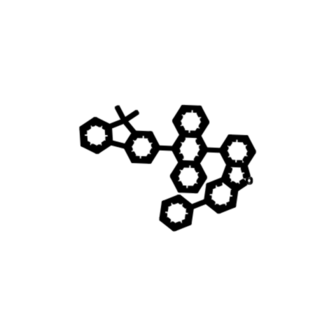 CC1(C)c2ccccc2-c2ccc(-c3c4ccccc4c(-c4cccc5oc6ccc(-c7ccccc7)cc6c45)c4ccccc34)cc21